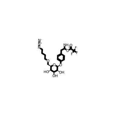 [N-]=[N+]=NCCCCOC[C@H]1O[C@@H](Oc2ccc(CC(N)OC(=O)C(F)(F)F)cc2)[C@H](O)[C@@H](O)[C@@H]1O